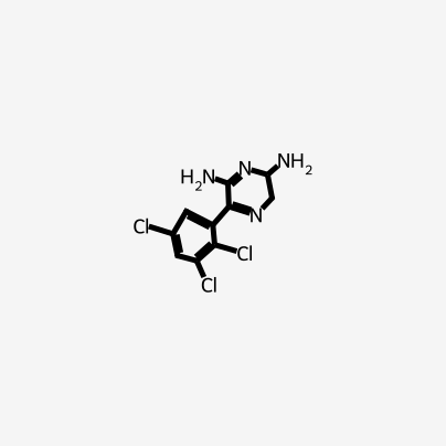 NC1=NC(N)CN=C1c1cc(Cl)cc(Cl)c1Cl